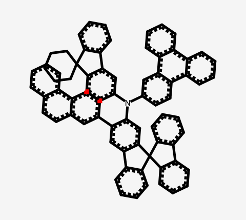 c1ccc2c(c1)-c1cc(N(c3ccc4c5ccccc5c5ccccc5c4c3)c3cc4c(cc3-c3ccc5c(ccc6ccccc65)c3)-c3ccccc3C43c4ccccc4-c4ccccc43)ccc1C21CCCCC1